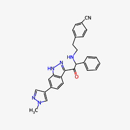 Cn1cc(-c2ccc3c(C(=O)C(NCCc4ccc(C#N)cc4)c4ccccc4)n[nH]c3c2)cn1